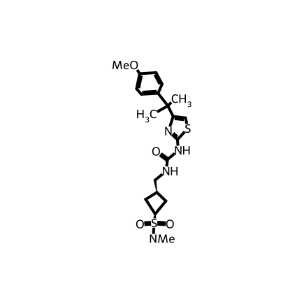 CNS(=O)(=O)[C@H]1C[C@@H](CNC(=O)Nc2nc(C(C)(C)c3ccc(OC)cc3)cs2)C1